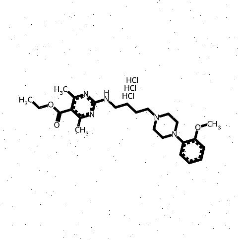 CCOC(=O)c1c(C)nc(NCCCCN2CCN(c3ccccc3OC)CC2)nc1C.Cl.Cl.Cl